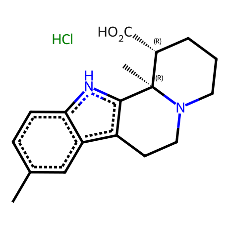 Cc1ccc2[nH]c3c(c2c1)CCN1CCC[C@@H](C(=O)O)[C@]31C.Cl